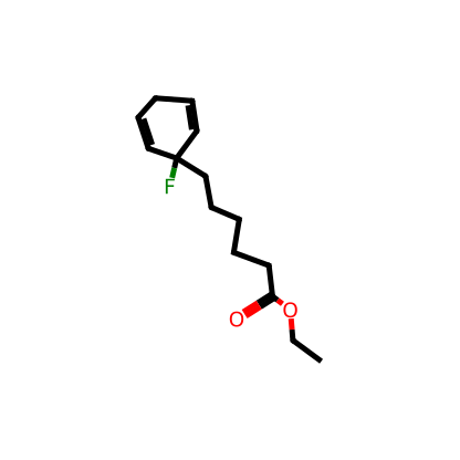 CCOC(=O)CCCCCC1(F)C=CCC=C1